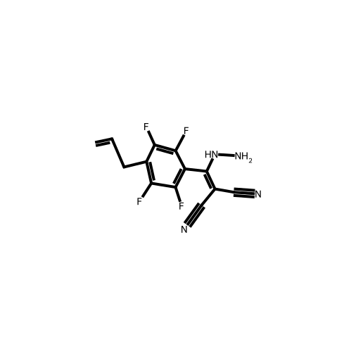 C=CCc1c(F)c(F)c(C(NN)=C(C#N)C#N)c(F)c1F